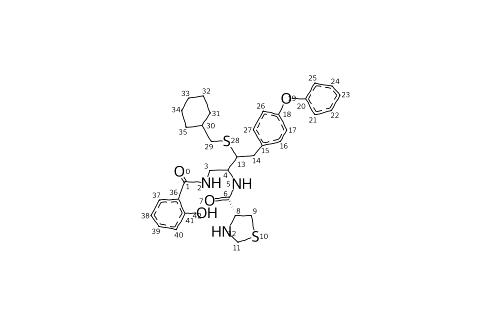 O=C(NCC(NC(=O)[C@@H]1CSCN1)C(Cc1ccc(Oc2ccccc2)cc1)SCC1CCCCC1)c1ccccc1O